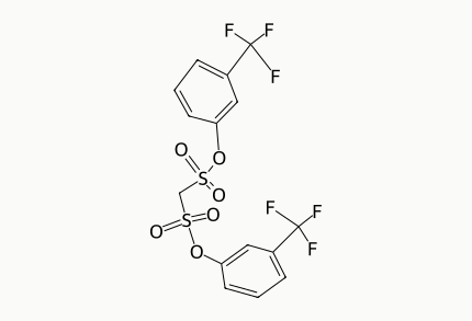 O=S(=O)(CS(=O)(=O)Oc1cccc(C(F)(F)F)c1)Oc1cccc(C(F)(F)F)c1